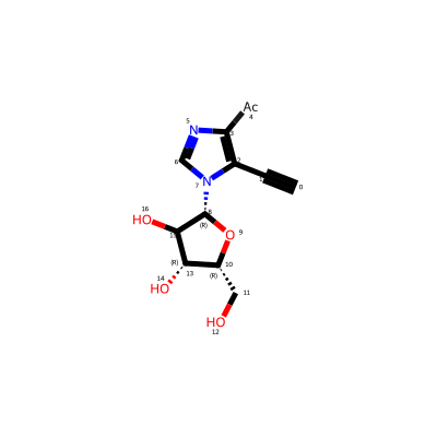 C#Cc1c(C(C)=O)ncn1[C@@H]1O[C@H](CO)[C@H](O)C1O